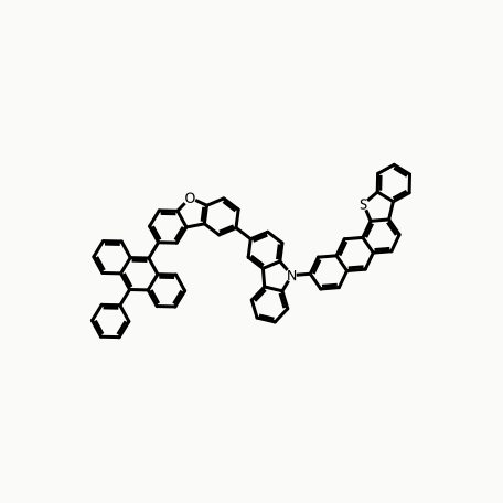 c1ccc(-c2c3ccccc3c(-c3ccc4oc5ccc(-c6ccc7c(c6)c6ccccc6n7-c6ccc7cc8ccc9c%10ccccc%10sc9c8cc7c6)cc5c4c3)c3ccccc23)cc1